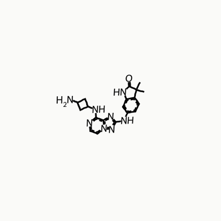 CC1(C)C(=O)Nc2cc(Nc3nc4c(NC5CC(N)C5)nccn4n3)ccc21